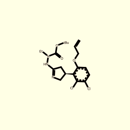 C=CCOc1ccc(Cl)c(Cl)c1[C@H]1CN=C(NN(CC)C(=O)OC(C)(C)C)C1